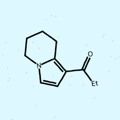 CCC(=O)c1ccn2c1CCCC2